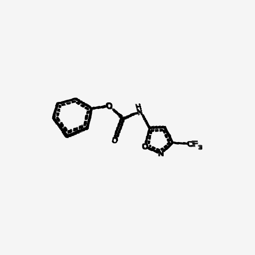 O=C(Nc1cc(C(F)(F)F)no1)Oc1ccccc1